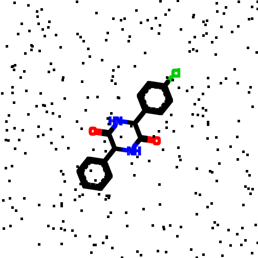 O=C1NC(c2ccc(Cl)cc2)C(=O)NC1c1ccccc1